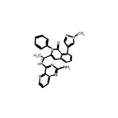 C[C@H](Nc1nc(N)nc2cccnc12)c1cc2cccc(-c3cnn(C)c3)c2c(=O)n1-c1ccccc1